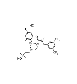 Cc1cc(F)ccc1[C@@H]1CN(CCC(C)(C)O)CC[C@H]1C(=O)N(C)Cc1cc(C(F)(F)F)cc(C(F)(F)F)c1.Cl